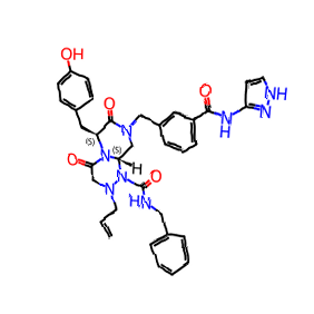 C=CCN1CC(=O)N2[C@@H](Cc3ccc(O)cc3)C(=O)N(Cc3cccc(C(=O)Nc4cc[nH]n4)c3)C[C@@H]2N1C(=O)NCc1ccccc1